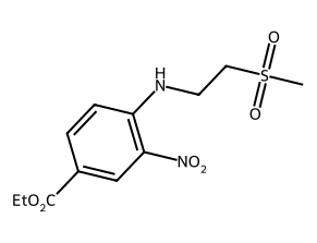 CCOC(=O)c1ccc(NCCS(C)(=O)=O)c([N+](=O)[O-])c1